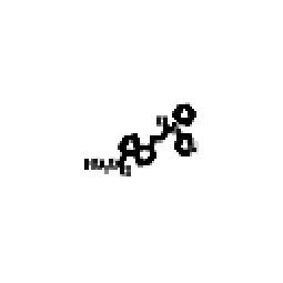 O=C(O)C(=O)c1cccc2c1CCCC2CCC(=O)N(c1ccccc1)c1cccnc1